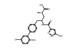 C[C@H](CC(Cc1ccc(-c2cc(Cl)ccc2Cl)cc1)NC(=O)c1cc(O)no1)C(=O)O